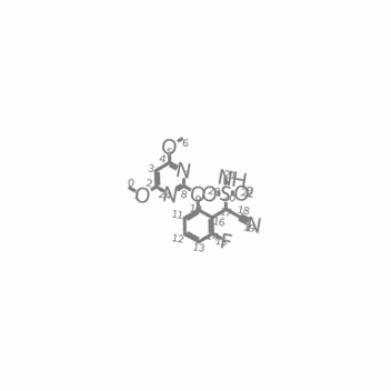 COc1cc(OC)nc(Oc2cccc(F)c2C(C#N)S(N)(=O)=O)n1